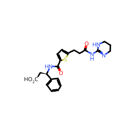 O=C(O)C[C@@H](NC(=O)c1ccc(CCC(=O)NC2=NCCCN2)s1)c1ccccc1